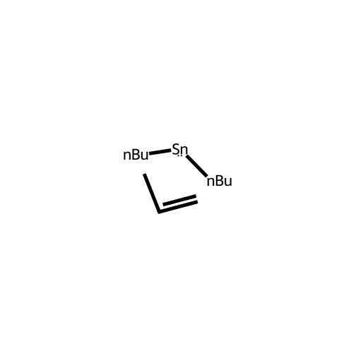 C=CC.CCC[CH2][Sn][CH2]CCC